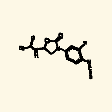 CCC(=O)NC1CN(c2ccc(N=C=S)c(F)c2)C(=O)O1